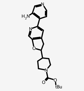 CC(C)(C)OC(=O)N1CCC(C2Cc3cc(-c4ccncc4N)ncc3O2)CC1